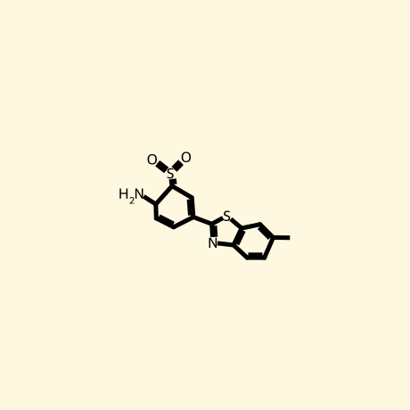 Cc1ccc2nc(C3=CC(=S(=O)=O)C(N)C=C3)sc2c1